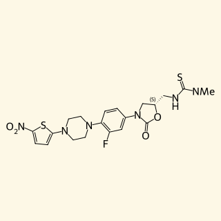 CNC(=S)NC[C@H]1CN(c2ccc(N3CCN(c4ccc([N+](=O)[O-])s4)CC3)c(F)c2)C(=O)O1